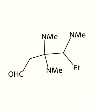 CCC(NC)C(CC=O)(NC)NC